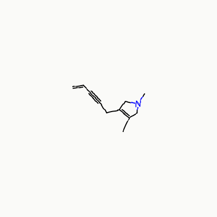 C=CC#CCC1=C(C)CN(C)C1